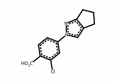 O=C(O)c1ccc(-n2cc3c(n2)CCC3)cc1Cl